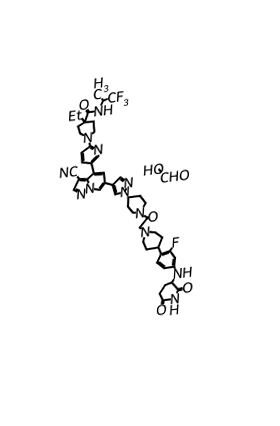 CCC1(C(=O)NC(C)C(F)(F)F)CCN(c2ccc(-c3cc(-c4cnn(C5CCN(C(=O)CN6CCC(c7ccc(NC8CCC(=O)NC8=O)cc7F)CC6)CC5)c4)cn4ncc(C#N)c34)cn2)CC1.O=CO